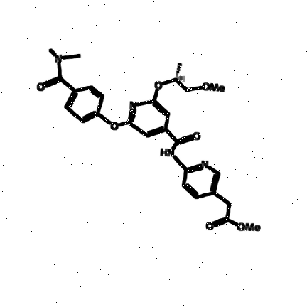 COC[C@@H](C)Oc1cc(C(=O)Nc2ccc(CC(=O)OC)cn2)cc(Oc2ccc(C(=O)N(C)C)cc2)n1